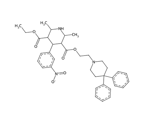 CCOC(=O)C1C(C)NC(C)C(C(=O)OCCN2CCC(c3ccccc3)(c3ccccc3)CC2)C1c1cccc([N+](=O)[O-])c1